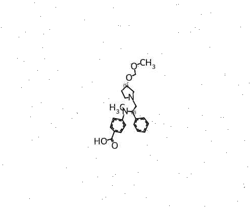 COCO[C@H]1CCN(C[C@@H](c2ccccc2)N(C)c2ccc(C(=O)O)cc2)C1